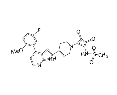 COc1ccc(F)cc1-c1ccnc2[nH]c(C3=CCN(c4c(NS(C)(=O)=O)c(=O)c4=O)CC3)cc12